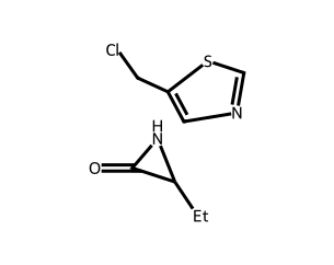 CCC1NC1=O.ClCc1cncs1